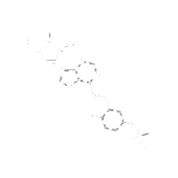 O=P(O)(O)Oc1ccc(O)c(CNc2ncnc3c2ncn3[C@@H]2O[C@H](CO)[C@@H](O)[C@H]2O)c1